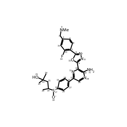 CNCc1ccc(-c2nnc(-c3nc(-c4ccc([S+]([O-])C(C)CC(C)(C)O)cc4)cnc3N)o2)c(F)c1